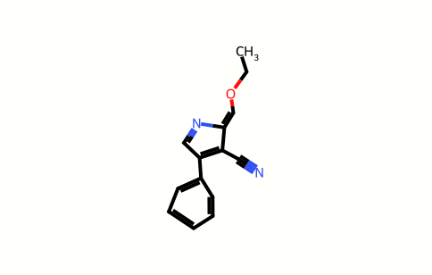 CCO/C=C1\N=CC(c2ccccc2)=C1C#N